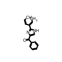 C/C=C\C(=C/C)c1nc(C(=O)c2ccccc2)c[nH]1